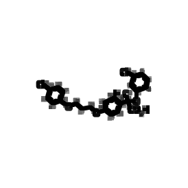 CC(Oc1cccc(Cl)c1)(C(=O)O)c1ccc(OCCCOc2ccc(Cl)cc2)cc1